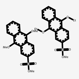 CCOc1c2ccccc2c(OCC)c2cc(S(=O)(=O)OC)ccc12.COc1c2ccccc2c(OC)c2cc(S(=O)(=O)OC)ccc12